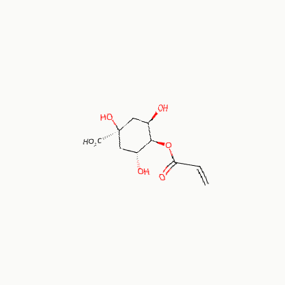 C=CC(=O)O[C@H]1[C@H](O)C[C@](O)(C(=O)O)C[C@H]1O